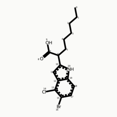 CCCCCCC(C(=O)O)c1cc2c(Cl)c(Br)ccc2[nH]1